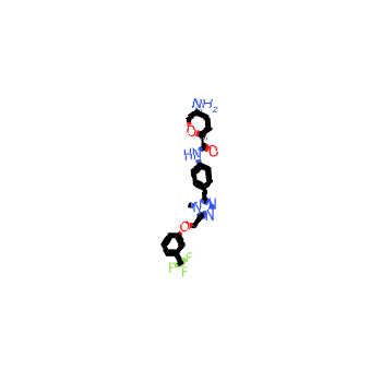 Cn1c(COc2cccc(C(F)(F)F)c2)nnc1-c1ccc(NC(=O)[C@@H]2CC[C@@H](N)CO2)cc1